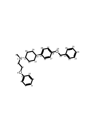 CN(CCOc1ccccc1)[C@H]1CC[C@H](c2ccc(OCc3ccccc3)cc2)CC1